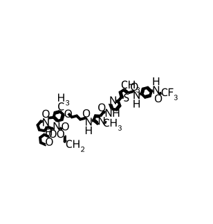 C=CCOC(=O)N1c2cc(OCCCC(=O)Nc3cc(C(=O)Nc4ccc(-c5cc(C)c(C(=O)Nc6ccc(NC(=O)C(F)(F)F)cc6)s5)nc4)n(C)c3)c(C)cc2C(=O)N2CCCC[C@H]2C1OC1CCCCO1